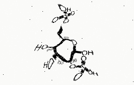 O=S(=O)(O)OC[C@H]1OC(O)[C@H](OS(=O)(=O)O)[C@@H](O)[C@H]1O